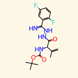 C=C(C)[C@@H](NC(=O)OC(C)(C)C)C(=O)NNC(=N)c1cc(F)ccc1F